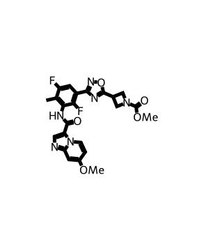 COC(=O)N1CC(c2nc(-c3cc(F)c(C)c(NC(=O)c4cnc5cc(OC)ccn45)c3F)no2)C1